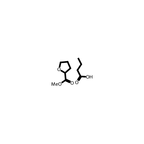 CCCC(=O)O.COC(=O)C1CCCO1